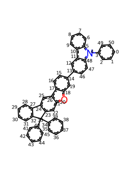 c1ccc(-n2c3ccccc3c3cc(-c4ccc5c(c4)oc4cc6c(cc45)-c4ccccc4C6(c4ccccc4)c4ccccc4)ccc32)cc1